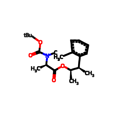 Cc1ccccc1[C@@H](C)[C@@H](C)OC(=O)[C@@H](C)N(C)C(=O)OC(C)(C)C